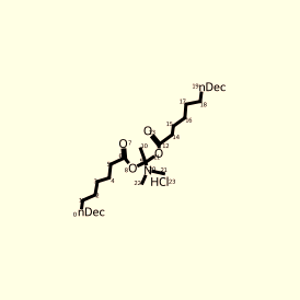 CCCCCCCCCCCCCCCC(=O)OC(C)(OC(=O)CCCCCCCCCCCCCCC)N(C)C.Cl